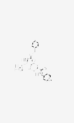 CC(NC(=O)OCc1ccccc1)[C@H]1CC[C@H](C(=O)Nc2ccncc2)CC1.Cl